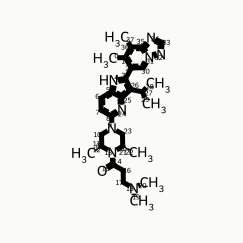 Cc1c(-c2[nH]c3ccc(N4C[C@@H](C)N(C(=O)CCN(C)C)[C@@H](C)C4)nc3c2C(C)C)cn2ncnc2c1C